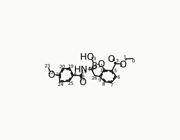 CCOC(=O)c1cccc2c1OB(O)[C@@H](NC(=O)c1ccc(OC)cc1)C2